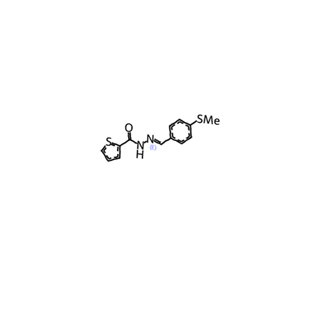 CSc1ccc(/C=N/NC(=O)c2cccs2)cc1